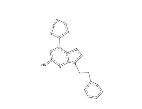 N=c1cc(-c2ccccc2)n2ccn(CCc3ccccc3)c2n1